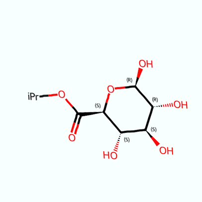 CC(C)OC(=O)[C@H]1O[C@@H](O)[C@H](O)[C@@H](O)[C@@H]1O